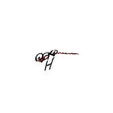 CCCCCCCCCCCCCCCCCC(=O)NCCOc1cccc(C=O)c1